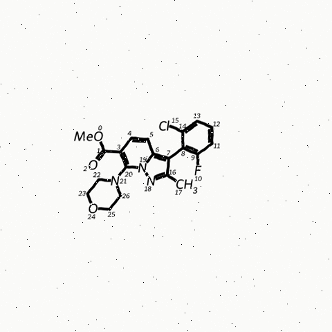 COC(=O)c1ccc2c(-c3c(F)cccc3Cl)c(C)nn2c1N1CCOCC1